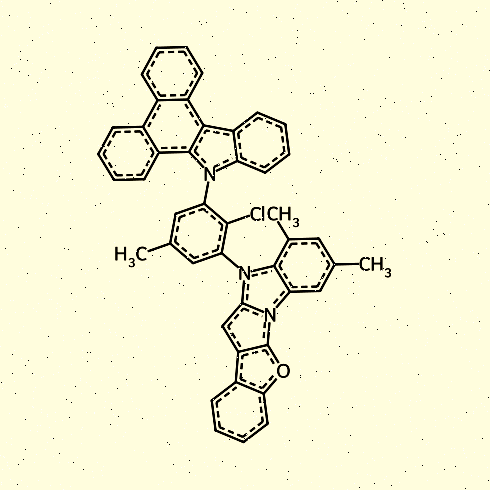 Cc1cc(-n2c3ccccc3c3c4ccccc4c4ccccc4c32)c(Cl)c(-n2c3c(C)cc(C)cc3n3c4oc5ccccc5c4cc23)c1